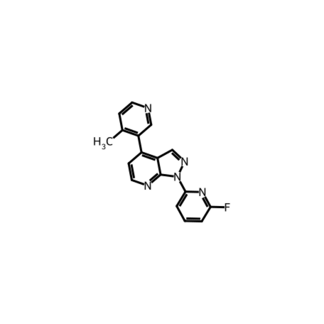 Cc1ccncc1-c1ccnc2c1cnn2-c1cccc(F)n1